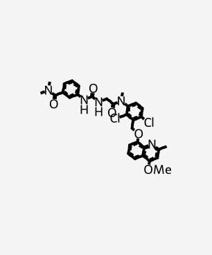 COc1cc(C)nc2c(OCc3c(Cl)ccc(N(C)C(=O)CNC(=O)Nc4cccc(C(=O)N(C)C)c4)c3Cl)cccc12